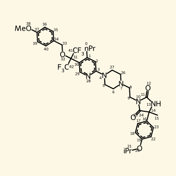 CCCc1cc(N2CCN(CCN3C(=O)NC(C)(c4ccc(OC(C)C)cc4)C3=O)CC2)ncc1C(OCc1ccc(OC)cc1)(C(F)(F)F)C(F)(F)F